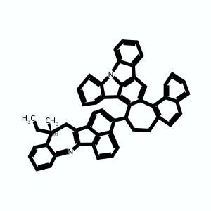 CC[C@]1(C)CC2=C(N=C3C=CC=CC31)c1cccc3c(C4CCc5ccc6ccccc6c5-c5cc6c7ccccc7n7c8ccccc8c(c54)c67)ccc2c13